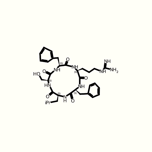 CC(C)C[C@@H]1NC(=O)[C@H](Cc2ccccc2)NC(=O)[C@H](CCCNC(=N)N)NC(=O)[C@H](Cc2ccccc2)NC(=O)[C@H](CO)NC1=O